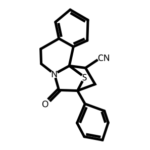 N#CC1CC2(c3ccccc3)SC13c1ccccc1CCN3C2=O